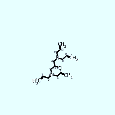 C=CCN(CC=C)CC(Cl)CN(CC=C)CC=C